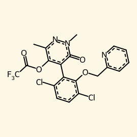 Cc1nn(C)c(=O)c(-c2c(Cl)ccc(Cl)c2OCc2ccccn2)c1OC(=O)C(F)(F)F